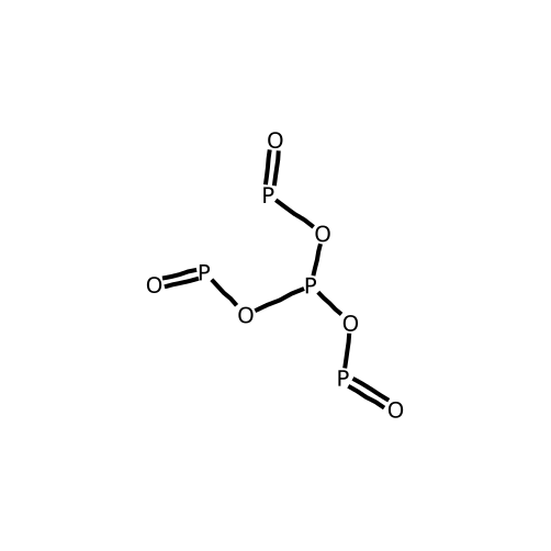 O=POP(OP=O)OP=O